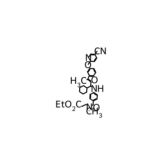 CCOC(=O)CCN(C)C(=O)c1ccc(NC(c2oc3ccc(Oc4ccc(C#N)cn4)cc3c2C)C2CCCCC2)cc1